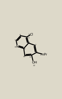 CCCc1cc2c(Cl)ccnc2cc1O